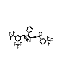 O=C(C#Cc1nnn(Cc2cc(C(F)(F)F)cc(C(F)(F)F)c2)c1-c1ccccc1)c1cccc(C(F)(F)F)c1